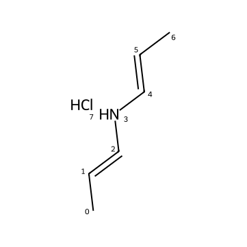 CC=CNC=CC.Cl